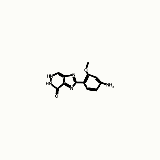 COc1cc(N)ccc1-c1nc2c[nH][nH]c(=O)c-2n1